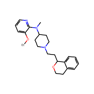 CCOc1cccnc1N(C)C1CCN(CCC2OCCc3ccccc32)CC1